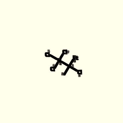 CCC(C)(Cl)[Si](Cl)(Cl)Cl